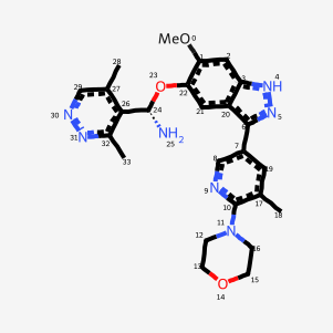 COc1cc2[nH]nc(-c3cnc(N4CCOCC4)c(C)c3)c2cc1O[C@H](N)c1c(C)cnnc1C